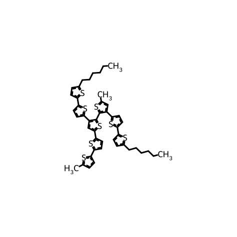 CCCCCCc1ccc(-c2ccc(-c3cc(C)sc3-c3sc(-c4ccc(-c5ccc(C)s5)s4)cc3-c3ccc(-c4ccc(CCCCCC)s4)s3)s2)s1